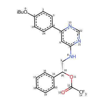 CC(C)COc1ccc(-c2cc(NC[C@H](OC(=O)C(F)(F)F)c3ccccc3)ncn2)cc1